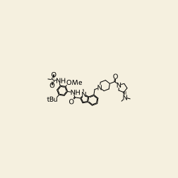 COc1c(NC(=O)c2cc3cccc(CN4CCC(C(=O)N5CC[C@@H](N(C)C)C5)CC4)c3n2C)cc(C(C)(C)C)cc1NS(C)(=O)=O